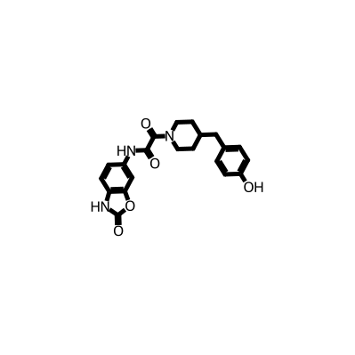 O=C(Nc1ccc2[nH]c(=O)oc2c1)C(=O)N1CCC(Cc2ccc(O)cc2)CC1